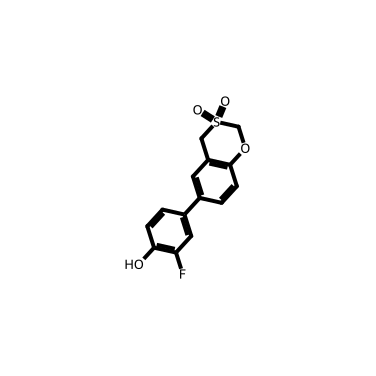 O=S1(=O)COc2ccc(-c3ccc(O)c(F)c3)cc2C1